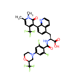 Cc1cc(C(F)(F)F)c(-c2ccc(C[C@H](NC(=O)c3c(F)cc(N4CCOC(C(F)(F)F)C4)cc3F)C(=O)O)c3cccnc23)c(=O)n1C